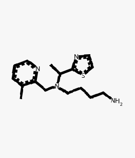 Cc1cccnc1CN(CCCCN)C(C)c1nccs1